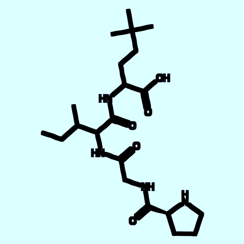 CCC(C)C(NC(=O)CNC(=O)[C@@H]1CCCN1)C(=O)NC(CCC(C)(C)C)C(=O)O